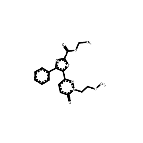 CCOC(=O)c1nc(-c2ccccc2)c(-c2ccc(=O)n(CCOC)n2)s1